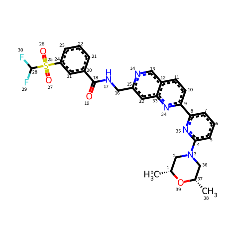 C[C@@H]1CN(c2cccc(-c3ccc4cnc(CNC(=O)c5cccc(S(=O)(=O)C(F)F)c5)cc4n3)n2)C[C@H](C)O1